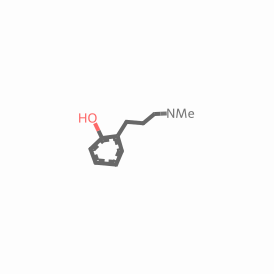 CNCCCc1ccccc1O